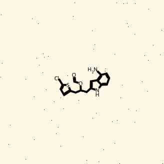 Nc1cccc2[nH]c(CC(Cc3ccc(Cl)s3)OC=O)cc12